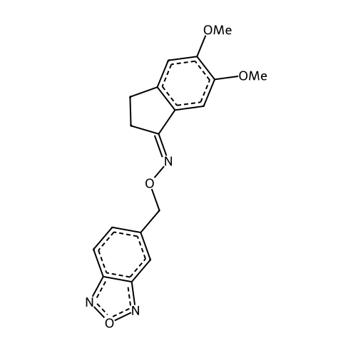 COc1cc2c(cc1OC)C(=NOCc1ccc3nonc3c1)CC2